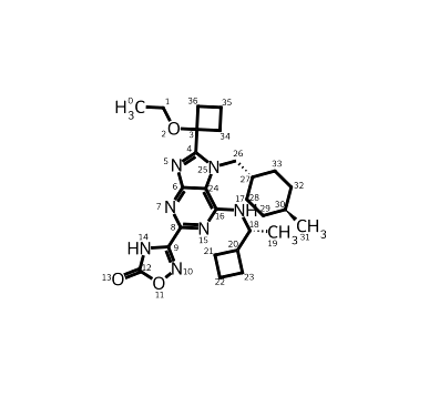 CCOC1(c2nc3nc(-c4noc(=O)[nH]4)nc(N[C@H](C)C4CCC4)c3n2C[C@H]2CC[C@H](C)CC2)CCC1